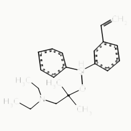 C=Cc1cccc([SiH](OC(C)(C)CN(CC)CC)c2ccccc2)c1